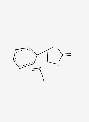 CC(=O)[C@H]1NC(=O)O[C@]1(C)c1ccccc1